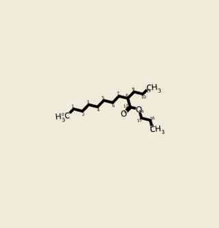 CCCCCCCCC(CCC)C(=O)OCCC